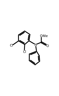 COC(=O)N(c1ccccc1)c1cccc(Cl)c1Cl